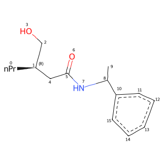 CCC[C@@H](CO)CC(=O)NC(C)c1ccccc1